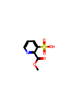 COC(=O)c1ncccc1S(=O)(=O)O